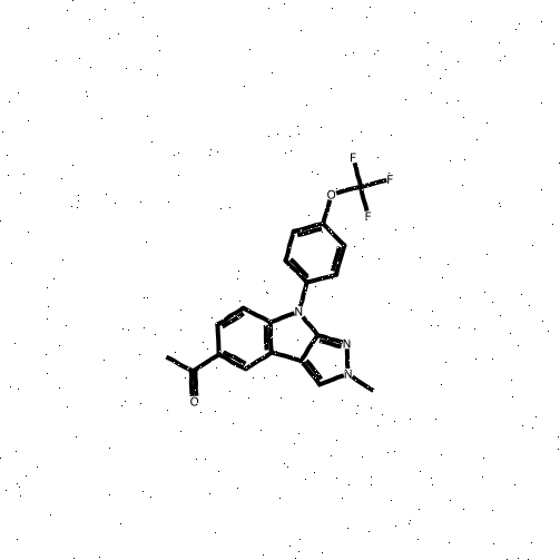 CC(=O)c1ccc2c(c1)c1cn(C)nc1n2-c1ccc(OC(F)(F)F)cc1